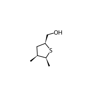 C[C@@H]1S[C@H](CO)C[C@@H]1C